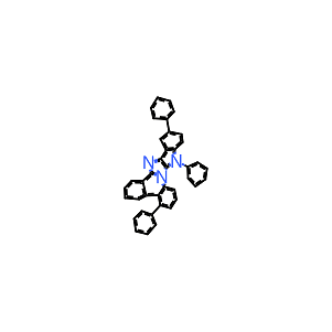 c1ccc(-c2ccc3c(c2)c2nc4c5ccccc5c5c(-c6ccccc6)cccc5n4c2n3-c2ccccc2)cc1